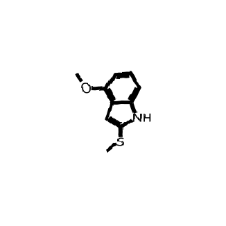 COc1cccc2[nH]c(SC)cc12